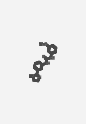 COc1cccc(NC(=O)Nc2cccc(C3=NCCN3)c2)c1